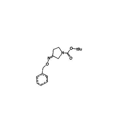 CC(C)(C)OC(=O)N1CCC(=NOCc2ccccc2)C1